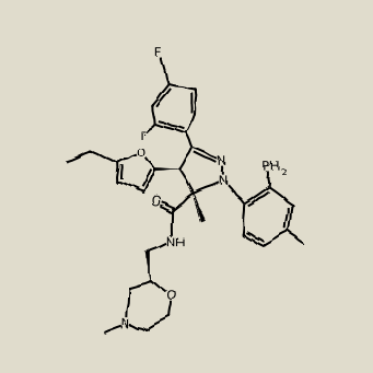 CCc1ccc([C@H]2C(c3ccc(F)cc3F)=NN(c3ccc(C)cc3P)[C@]2(C)C(=O)NC[C@@H]2CN(C)CCO2)o1